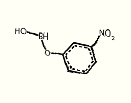 O=[N+]([O-])c1cccc(OBO)c1